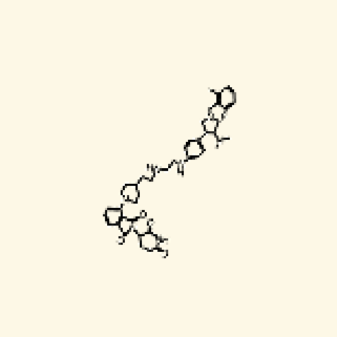 Cc1cccc(F)c1CN1CC(N(C)C)[C@@H](c2ccc(NCCNCCC3CCN(c4cccc5c4C(=O)N(C4CCC(=O)NC4=O)C5=O)CC3)cc2)C1